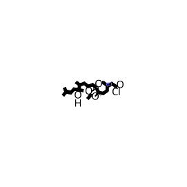 CC(=O)O[C@@H]1CC/C(=C\C(=O)Cl)CO[C@@]1(C)CCCC(C)C(C)(O)CC=C(C)C